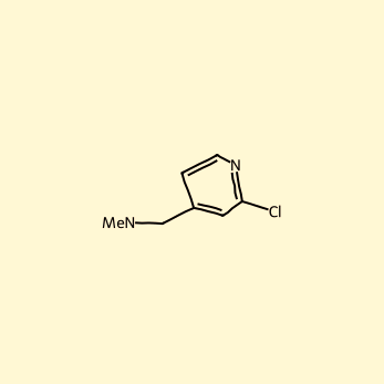 [CH2]NCc1ccnc(Cl)c1